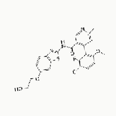 COc1ccc(Cl)c(F)c1-c1cc(C)ncc1C(=O)Nc1nc2ccc(OCCO)cc2s1